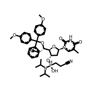 COc1ccc(C(O[C@@H](CC#N)[C@H]2O[C@@H](n3cc(C)c(=O)[nH]c3=O)C[C@@H]2O[PH](O)(CCC#N)N(C(C)C)C(C)C)(c2ccccc2)c2ccc(OC)cc2)cc1